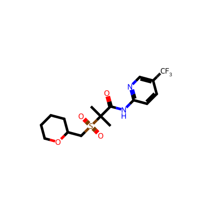 CC(C)(C(=O)Nc1ccc(C(F)(F)F)cn1)S(=O)(=O)CC1CCCCO1